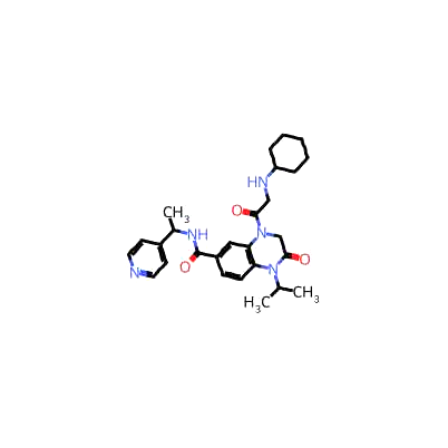 CC(NC(=O)c1ccc2c(c1)N(C(=O)CNC1CCCCC1)CC(=O)N2C(C)C)c1ccncc1